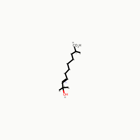 CC(CCCCC/C=C/C(C)(C)O)C(=O)O